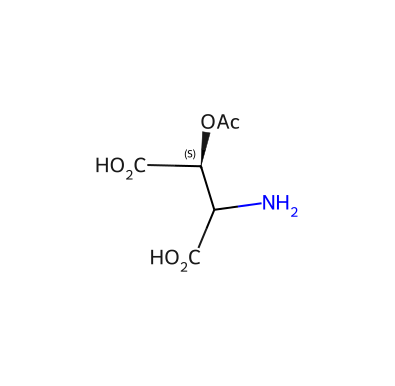 CC(=O)O[C@H](C(=O)O)C(N)C(=O)O